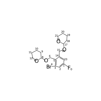 Fc1cc(Br)c(COC2CCCCO2)c(COC2CCCCO2)c1